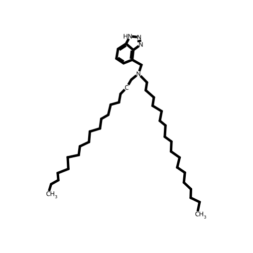 CCCCCCCCCCCCCCCCCCN(CCCCCCCCCCCCCCCCCC)Cc1cccc2[nH]nnc12